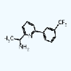 CC(N)c1cccc(-c2cccc(C(F)(F)F)c2)n1